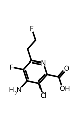 Nc1c(F)c(CCF)nc(C(=O)O)c1Cl